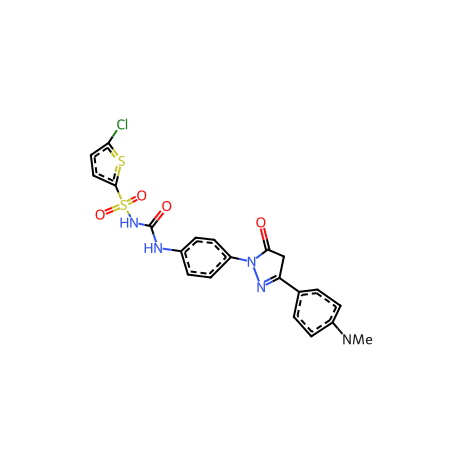 CNc1ccc(C2=NN(c3ccc(NC(=O)NS(=O)(=O)c4ccc(Cl)s4)cc3)C(=O)C2)cc1